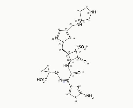 Nc1nc(/C(=N/OC2(C(=O)O)CC2)C(=O)N[C@@H]2C(=O)N(S(=O)(=O)O)[C@@H]2Cn2ncc(CN[C@H]3CCNC3)n2)cs1